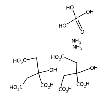 N.N.O=C(O)CC(O)(CC(=O)O)C(=O)O.O=C(O)CC(O)(CC(=O)O)C(=O)O.O=P(O)(O)O